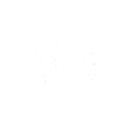 COc1ncccc1Nc1nccc(-c2cc(C#N)c3c(c2)C(C)(CN2CCN(C(=O)OC(C)(C)C)CC2)CN3C(=O)OC(C)(C)C)n1